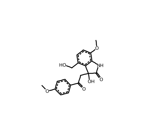 COc1ccc(C(=O)CC2(O)C(=O)Nc3c(OC)ccc(CO)c32)cc1